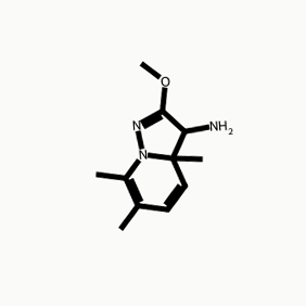 COC1=NN2C(C)=C(C)C=CC2(C)C1N